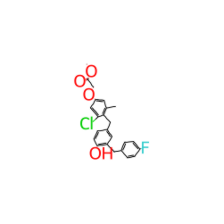 COC(=O)COc1cc(C)c(Cc2ccc(O)c(Cc3ccc(F)cc3)c2)c(Cl)c1